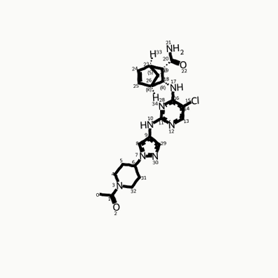 CC(=O)N1CCC(n2cc(Nc3ncc(Cl)c(N[C@H]4[C@@H](C(N)=O)[C@@H]5C=C[C@H]4C5)n3)cn2)CC1